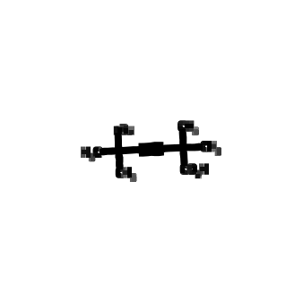 CCCCC(C)(C)C#CC(C)(C)C(=O)O